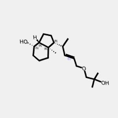 CC(/C=C/COCC(C)(C)O)[C@H]1CC[C@H]2[C@@H](O)CCC[C@]12C